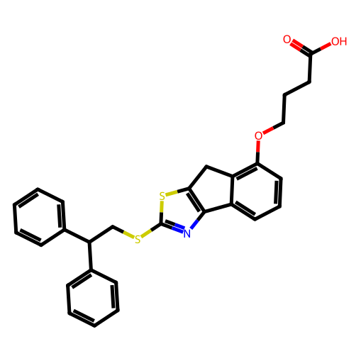 O=C(O)CCCOc1cccc2c1Cc1sc(SCC(c3ccccc3)c3ccccc3)nc1-2